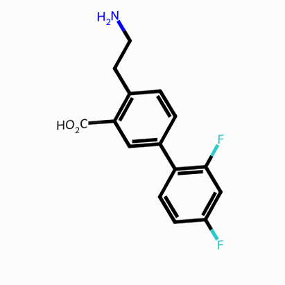 NCCc1ccc(-c2ccc(F)cc2F)cc1C(=O)O